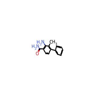 Cc1c(-c2ccccc2)ccc(C(N)=O)c1N